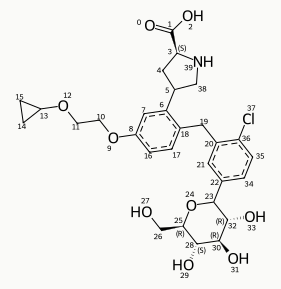 O=C(O)[C@@H]1CC(c2cc(OCCOC3CC3)ccc2Cc2cc(C3O[C@H](CO)[C@@H](O)[C@H](O)[C@H]3O)ccc2Cl)CN1